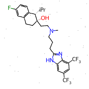 CC(C)[C@H]1c2ccc(F)cc2CC[C@]1(O)CCN(C)CCCc1nc2c(C(F)(F)F)cc(C(F)(F)F)cc2[nH]1